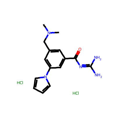 CN(C)Cc1cc(C(=O)N=C(N)N)cc(-n2cccc2)c1.Cl.Cl